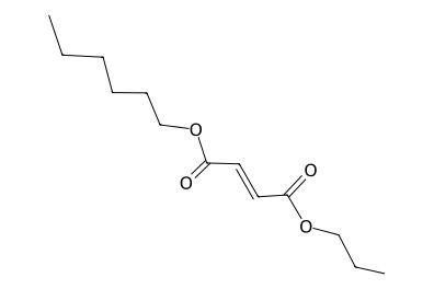 CCCCCCOC(=O)/C=C/C(=O)OCCC